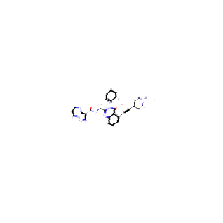 C[C@@H](NC(=O)c1c(N)nn2cccnc12)c1nc2cccc(C#CC3CCN(C)CC3)c2c(=O)n1-c1ccccc1